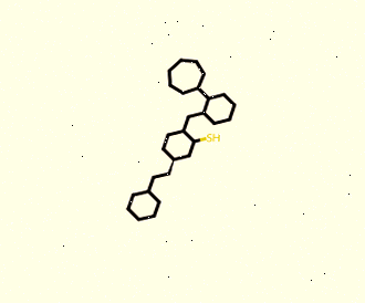 SC1C[C@@H](CCC2CCCCC2)CCC1CC1CCCCC1C1CCCCCC1